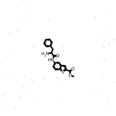 COC(=O)c1cc2cc(NC(=O)C(N)Cc3ccccc3)ccc2s1